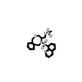 CS(=O)(=O)OCC1COCc2ccccc2CN1S(=O)(=O)c1cccc2cccnc12